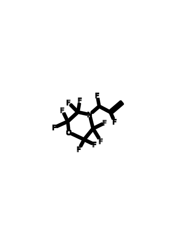 C=C(F)C(F)N1C(F)(F)C(F)(F)OC(F)(F)C1(F)F